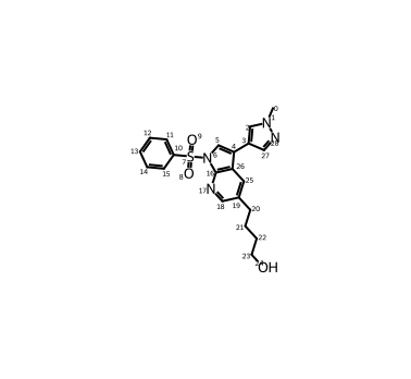 Cn1cc(-c2cn(S(=O)(=O)c3ccccc3)c3ncc(CCCCO)cc23)cn1